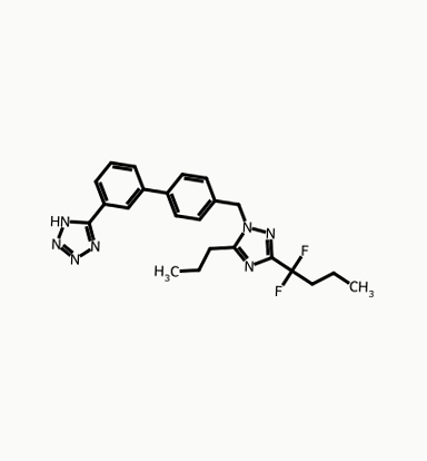 CCCc1nc(C(F)(F)CCC)nn1Cc1ccc(-c2cccc(-c3nnn[nH]3)c2)cc1